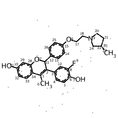 CC1=C(c2ccc(O)c(F)c2)C(c2ccc(OCCN3CC[C@@H](C)C3)cc2)Oc2cc(O)ccc21